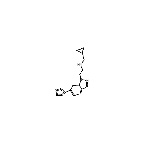 C1=NN(CCNCC2CC2)C2CC(c3ccsc3)=CC=C12